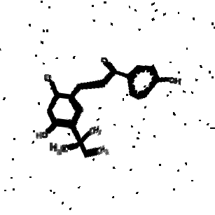 C=CC(C)(C)C1=C(O)CC(CC)C(/C=C/C(=O)c2ccc(O)cc2)=C1